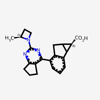 C[C@H]1CCN1c1nc2c(c(-c3cccc4c3CC3C4[C@@H]3C(=O)O)n1)CCC2